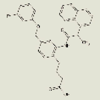 CC(C(=O)Nc1cc(COc2cccc(F)c2)ccc1CCCC(=O)O)c1cccc2ccccc12